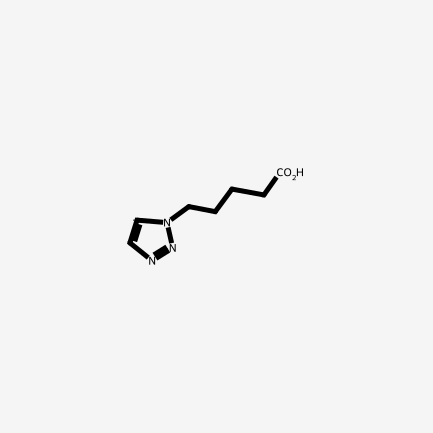 O=C(O)CCCCn1[c]cnn1